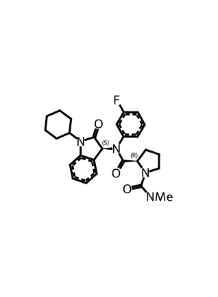 CNC(=O)N1CCC[C@@H]1C(=O)N(c1cccc(F)c1)[C@@H]1C(=O)N(C2CCCCC2)c2ccccc21